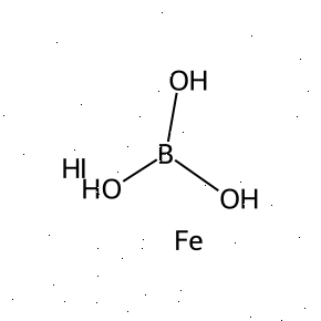 I.OB(O)O.[Fe]